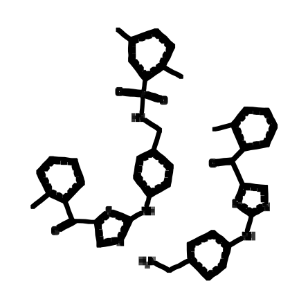 Cc1ccc(C)c(S(=O)(=O)NCc2ccc(Nc3ncc(C(=O)c4ccccc4C)s3)cc2)c1.Cc1ccccc1C(=O)c1cnc(Nc2ccc(CN)cc2)s1